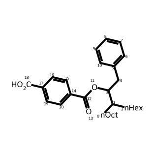 CCCCCCCCC(CCCCCC)C(Cc1ccccc1)OC(=O)c1ccc(C(=O)O)cc1